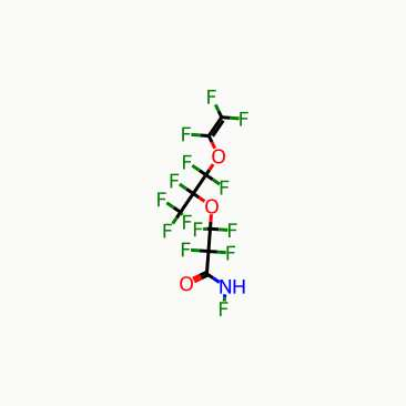 O=C(NF)C(F)(F)C(F)(F)OC(F)(C(F)(F)F)C(F)(F)OC(F)=C(F)F